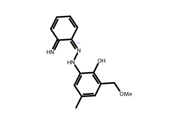 COCc1cc(C)cc(N/N=C2/C=CC=CC2=N)c1O